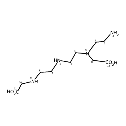 NCCN(CCNCCNCC(=O)O)CC(=O)O